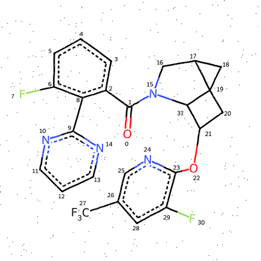 O=C(c1cccc(F)c1-c1ncccn1)N1CC2CC23CC(Oc2ncc(C(F)(F)F)cc2F)C13